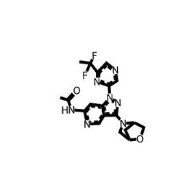 CC(=O)Nc1cc2c(cn1)c(N1CC3CC1CO3)nn2-c1cncc(C(C)(F)F)n1